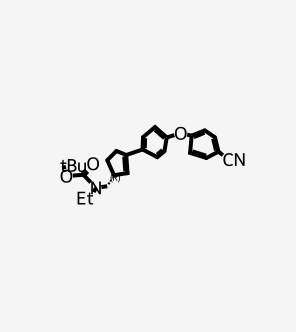 CCN(C[C@H]1C=C(c2ccc(Oc3ccc(C#N)cc3)cc2)CC1)C(=O)OC(C)(C)C